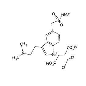 CNS(=O)(=O)Cc1ccc2[nH]cc(CCN(C)C)c2c1.ClCCl.O=C(O)CCC(=O)O